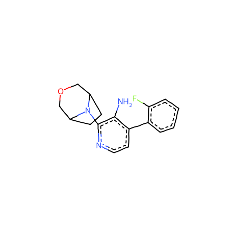 Nc1c(-c2ccccc2F)ccnc1N1C2CCC1COC2